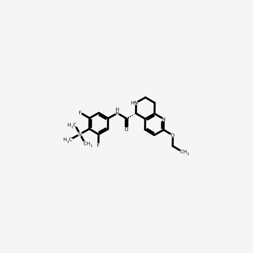 CCOc1ccc2c(n1)CCN[C@H]2C(=O)Nc1cc(F)c([Si](C)(C)C)c(F)c1